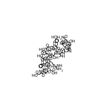 CC(C)[C@H](NC(=O)[C@H](CCC(=O)O)NC(=O)[C@H](Cc1ccc(O)cc1)NC(=O)CNC(=O)[C@H](CO)NC(=O)[C@H](CC(=O)O)NC(=O)[C@H](Cc1c[nH]cn1)NC(=O)[C@H](CCCNC(=N)N)NC(=O)[C@H](Cc1ccccc1)NC(=O)[C@H](CCC(=O)O)NC(=O)[C@H](C)NC(=O)[C@@H](N)CC(=O)O)C(=O)N[C@@H](Cc1c[nH]cn1)C(=O)N[C@@H](Cc1c[nH]cn1)C(=O)N[C@@H](CCC(N)=O)C(=O)O